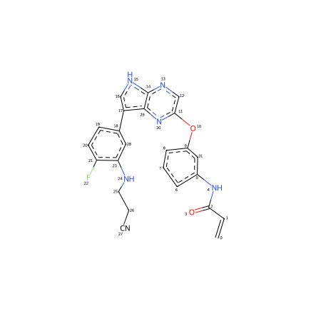 C=CC(=O)Nc1cccc(Oc2cnc3[nH]cc(-c4ccc(F)c(NCCC#N)c4)c3n2)c1